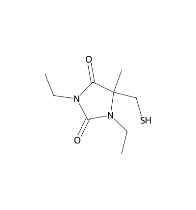 CCN1C(=O)N(CC)C(C)(CS)C1=O